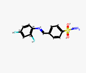 NS(=O)(=O)c1ccc(C=Nc2ccc(F)cc2F)cc1